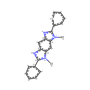 CCn1c(-c2ccccc2)nc2cc3nc(-c4ccccc4)n(CC)c3cc21